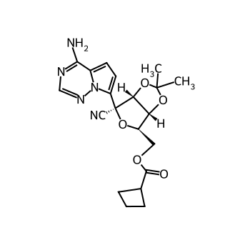 CC1(C)O[C@H]2[C@@H](O1)[C@](C#N)(c1ccc3c(N)ncnn13)O[C@@H]2COC(=O)C1CCC1